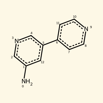 Nc1cncc(-c2ccncc2)c1